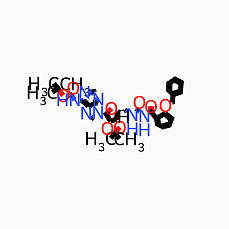 CC(C)(C)OC(=O)Nc1ncnc2c1ncn2[C@@H]1O[C@H](CNC(=O)NC(=O)c2ccccc2OCc2ccccc2)[C@@H]2OC(C)(C)OC21